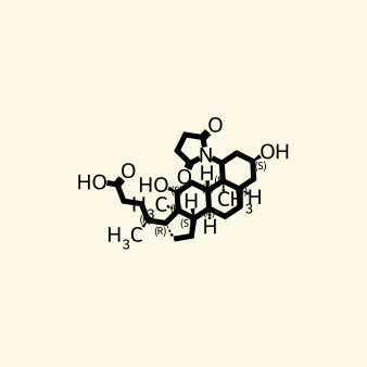 C[C@H](CCC(=O)O)[C@H]1CC[C@H]2[C@@H]3CC[C@@H]4C[C@H](O)CC(N5C(=O)CCC5=O)[C@]4(C)[C@H]3C[C@H](O)[C@]12C